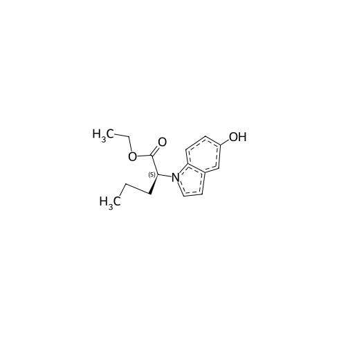 CCC[C@@H](C(=O)OCC)n1ccc2cc(O)ccc21